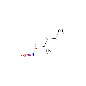 CCCCON=O.[NaH]